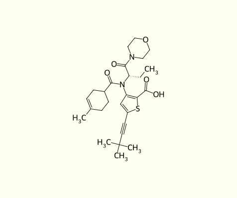 CC[C@@H](C(=O)N1CCOCC1)N(C(=O)C1CC=C(C)CC1)c1cc(C#CC(C)(C)C)sc1C(=O)O